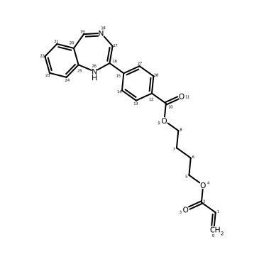 C=CC(=O)OCCCCOC(=O)c1ccc(C2=CN=Cc3ccccc3N2)cc1